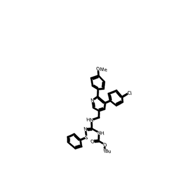 COc1ccc(-c2ncc(CN/C(=N/Sc3ccccc3)NC(=O)OC(C)(C)C)cc2-c2ccc(Cl)cc2)cc1